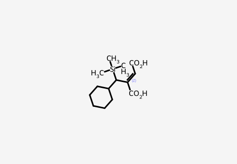 C[Si](C)(C)C(/C(=C\C(=O)O)C(=O)O)C1CCCCC1